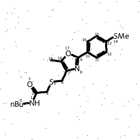 CCCCNC(=O)CSCc1nc(-c2ccc(SC)cc2)oc1C